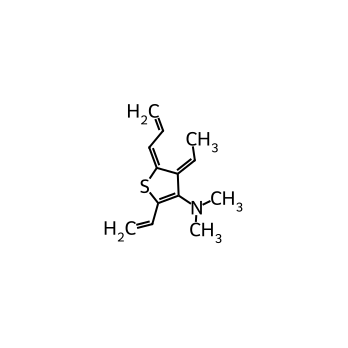 C=C/C=c1/sc(C=C)c(N(C)C)/c1=C/C